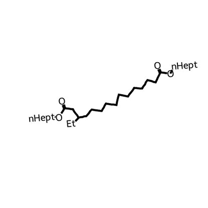 CCCCCCCOC(=O)CCCCCCCCCCCC(CC)CC(=O)OCCCCCCC